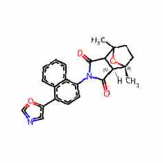 CC12CC[C@@](C)(O1)[C@H]1C(=O)N(c3ccc(-c4cnco4)c4ccccc34)C(=O)C12